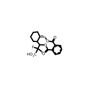 CC(C)(C)OC(=O)c1ccccc1C(=O)OC(C1CCCCC1)C(F)(F)C(=O)O